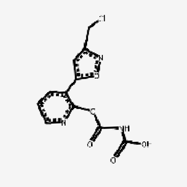 O=C(O)NC(=O)Oc1ncccc1-c1cc(CCl)no1